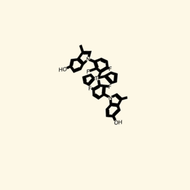 Cc1cn(-c2ccc(F)[c]([Ti]([C]3=CC=CC3)([C]3=CC=CC3)[c]3c(F)ccc(-n4cc(C)c5cc(O)ccc54)c3F)c2F)c2ccc(O)cc12